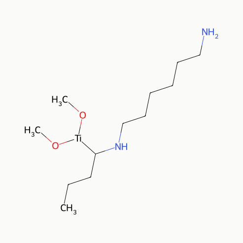 CCC[CH](NCCCCCCN)[Ti]([O]C)[O]C